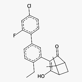 CCc1ccc(-c2ccc(Cl)cc2F)cc1C1=C(O)C2CC(C1=O)C2(C)C